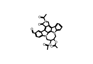 CC(=O)OC1Cn2c3ccccc3c3c4c(c5c6cc(C=O)ccc6n(c5c32)CC1OC(C)=O)C(=O)N(C(C)=O)C4